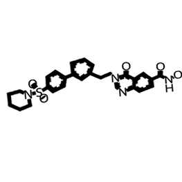 O=C(NO)c1ccc2ncn(CCc3cccc(-c4ccc(S(=O)(=O)N5CCCCC5)cc4)c3)c(=O)c2c1